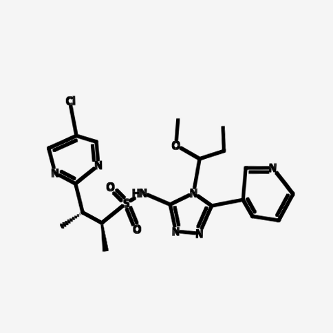 CCC(OC)n1c(NS(=O)(=O)[C@@H](C)[C@H](C)c2ncc(Cl)cn2)nnc1-c1cccnc1